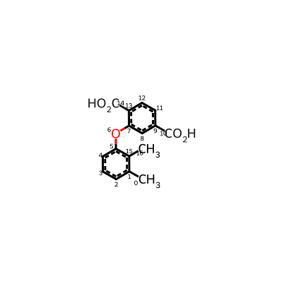 Cc1cccc(Oc2cc(C(=O)O)ccc2C(=O)O)c1C